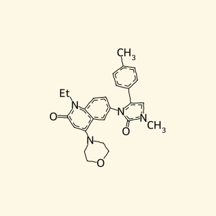 CCn1c(=O)cc(N2CCOCC2)c2cc(-n3c(-c4ccc(C)cc4)cn(C)c3=O)ccc21